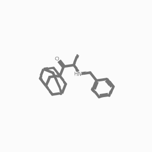 CC(NCc1ccccc1)C(=O)C12CC3CC(CC(C3)C1)C2